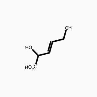 O=C(O)C(O)C=CCO